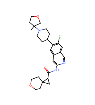 CC1(N2CCC(c3cc4cc(NC(=O)C5CC56CCOCC6)ncc4cc3Cl)CC2)CCOC1